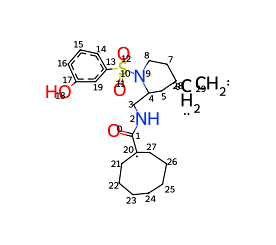 O=C(NCC1CCCCN1S(=O)(=O)c1cccc(O)c1)[C]1CCCCCCC1.[CH2].[CH2]